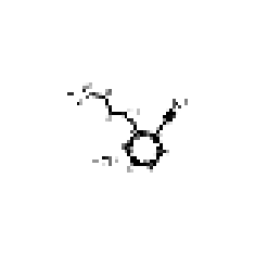 Cl.N#Cc1ccccc1OCCN